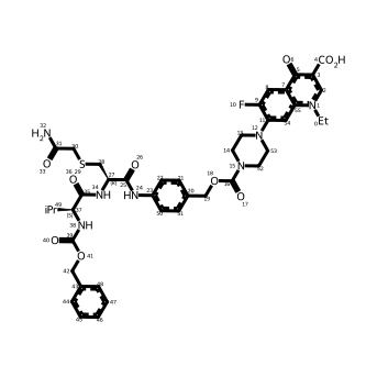 CCn1cc(C(=O)O)c(=O)c2cc(F)c(N3CCN(C(=O)OCc4ccc(NC(=O)[C@H](CSCC(N)=O)NC(=O)[C@@H](NC(=O)OCc5ccccc5)C(C)C)cc4)CC3)cc21